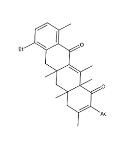 CCc1ccc(C)c2c1CC1(C)CC3(C)CC(C)=C(C(C)=O)C(=O)C3(C)C(C)=C1C2=O